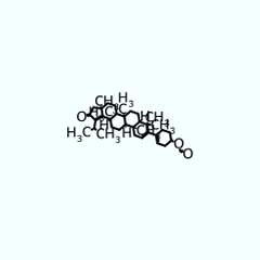 CC(C)C1=C2[C@H]3CC[C@@H]4[C@@]5(C)CC=C(C6=CCC(OC=O)CC6)C(C)(C)[C@@H]5CC[C@@]4(C)[C@]3(C)CC[C@@]2(C)CC1=O